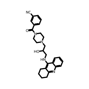 N#Cc1cccc(C(=O)N2CCN(CC(O)CNc3c4c(nc5ccccc35)CCCC4)CC2)c1